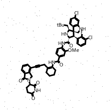 COc1cc(C(=O)NC2=C(CC#Cc3cccc4c3CN(C3CCC(=O)NC3=O)C4=O)CCCC2)ccc1NC(=O)[C@@H]1N[C@@H](CC(C)(C)C)[C@@]2(CNc3cc(Cl)ccc32)[C@H]1c1cccc(Cl)c1F